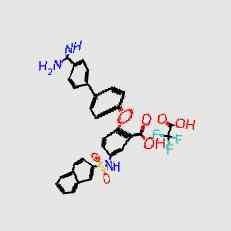 N=C(N)c1ccc(-c2ccc(Oc3ccc(NS(=O)(=O)c4ccc5ccccc5c4)cc3C(=O)O)cc2)cc1.O=C(O)C(F)(F)F